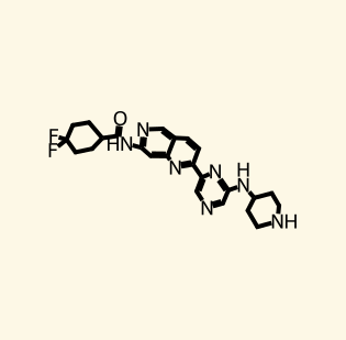 O=C(Nc1cc2nc(-c3cncc(NC4CCNCC4)n3)ccc2cn1)C1CCC(F)(F)CC1